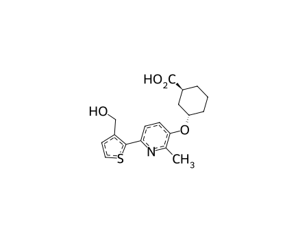 Cc1nc(-c2sccc2CO)ccc1O[C@H]1CCC[C@H](C(=O)O)C1